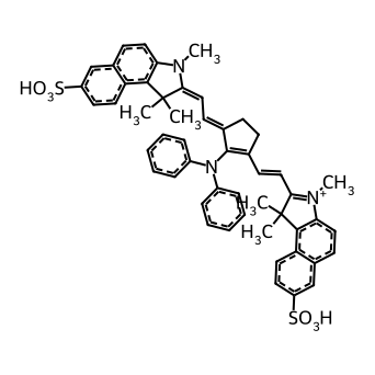 CN1C(=CC=C2CCC(C=CC3=[N+](C)c4ccc5cc(S(=O)(=O)O)ccc5c4C3(C)C)=C2N(c2ccccc2)c2ccccc2)C(C)(C)c2c1ccc1cc(S(=O)(=O)O)ccc21